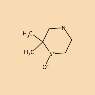 CC1(C)C[N]CC[S+]1[O-]